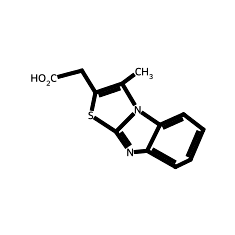 Cc1c(CC(=O)O)sc2nc3ccccc3n12